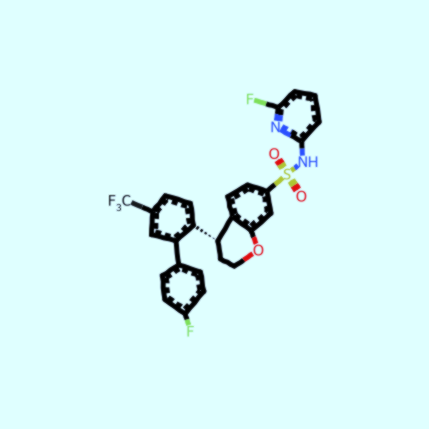 O=S(=O)(Nc1cccc(F)n1)c1ccc2c(c1)OCC[C@@H]2c1ccc(C(F)(F)F)cc1-c1ccc(F)cc1